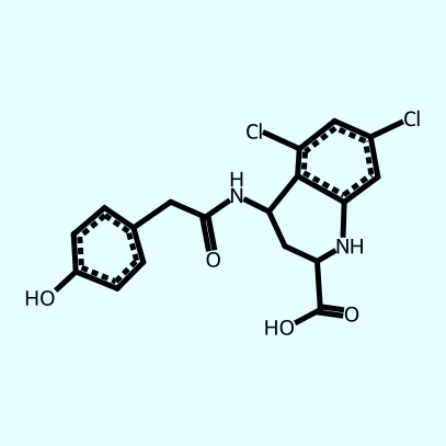 O=C(Cc1ccc(O)cc1)NC1CC(C(=O)O)Nc2cc(Cl)cc(Cl)c21